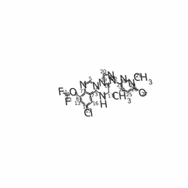 C[C@H](Nc1ncnc2c(OC(F)F)cc(Cl)cc12)c1ncnn1-c1ccc(=O)n(C)n1